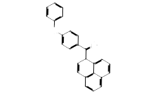 O=C(c1ccc(Oc2ccccc2)cc1)C1C=Cc2cccc3cccc1c23